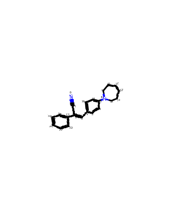 N#CC(=Cc1ccc(N2CCCCCC2)cc1)c1ccccc1